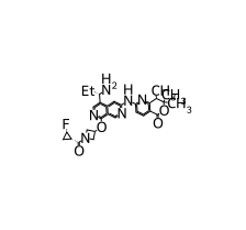 CC[C@H](N)c1cnc(OC2CN(C(=O)[C@@H]3C[C@@H]3F)C2)c2cnc(Nc3ccc4c(n3)[C@@H](C)C(C)(C)OC4=O)cc12